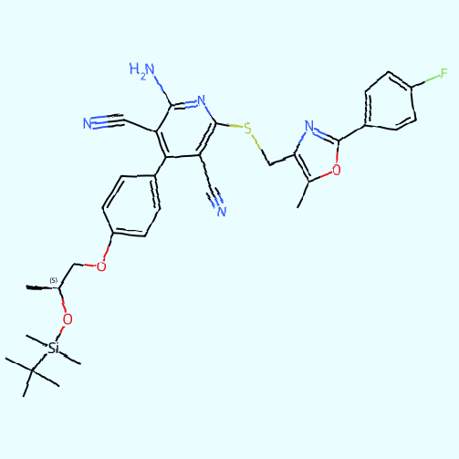 Cc1oc(-c2ccc(F)cc2)nc1CSc1nc(N)c(C#N)c(-c2ccc(OC[C@H](C)O[Si](C)(C)C(C)(C)C)cc2)c1C#N